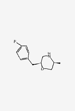 C[C@H]1CO[C@@H](Cc2ccc(F)cc2)CN1